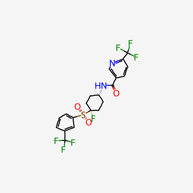 O=C(N[C@H]1CC[C@](F)(S(=O)(=O)c2cccc(C(F)(F)F)c2)CC1)c1ccc(C(F)(F)F)nc1